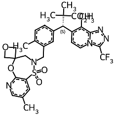 Cc1cnc2c(c1)S(=O)(=O)N(Cc1cc([C@@H](c3ccn4c(C(F)(F)F)nnc4c3C)C(C)(C)C(=O)O)ccc1C)CC1(COC1)O2